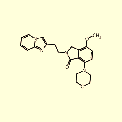 COc1ccc(N2CCOCC2)c2c1CN(CCc1cn3ccccc3n1)C2=O